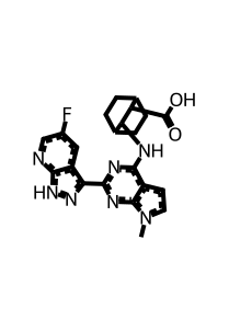 Cn1ccc2c(NC3C4CCC(CC4)C3C(=O)O)nc(-c3n[nH]c4ncc(F)cc34)nc21